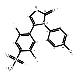 NS(=O)(=O)c1cc(F)c(-c2csc(=O)n2-c2ccc(Cl)cc2)cc1F